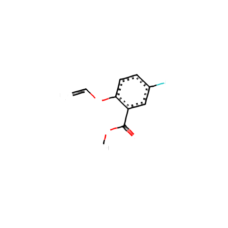 C=COc1ccc(F)cc1C(=O)OC